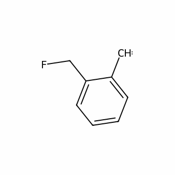 [CH]c1ccccc1CF